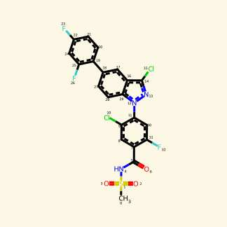 CS(=O)(=O)NC(=O)c1cc(Cl)c(-n2nc(Cl)c3cc(-c4ccc(F)cc4F)ccc32)cc1F